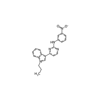 CCCn1cc(-c2ccnc(Nc3cccc([N+](=O)[O-])c3)n2)c2ccccc21